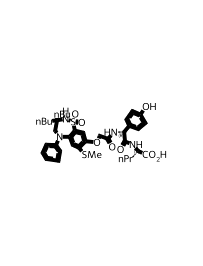 CCCCC1(CCCC)CN(c2ccccc2)c2cc(SC)c(OCC(=O)N[C@@H](C(=O)N[C@@H](CCC)C(=O)O)c3ccc(O)cc3)cc2S(=O)(=O)N1